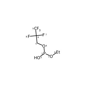 CCOP(O)OCC(F)(F)C(F)(F)F